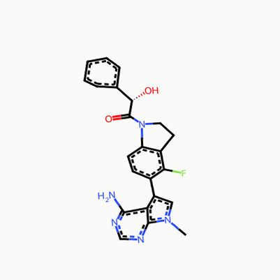 Cn1cc(-c2ccc3c(c2F)CCN3C(=O)[C@@H](O)c2ccccc2)c2c(N)ncnc21